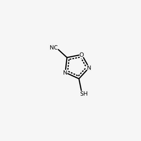 N#Cc1nc(S)no1